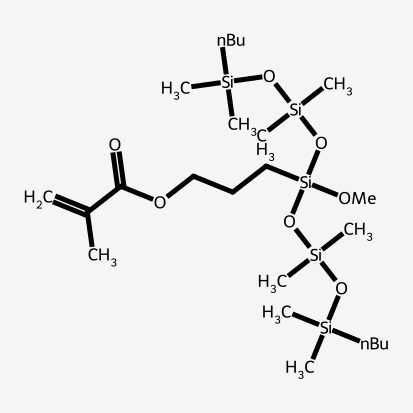 C=C(C)C(=O)OCCC[Si](OC)(O[Si](C)(C)O[Si](C)(C)CCCC)O[Si](C)(C)O[Si](C)(C)CCCC